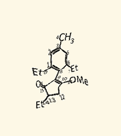 CCc1cc(C)cc(CC)c1C1=C(OC)CC(CC)C1=O